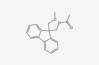 COCC1(COC(C)=O)c2ccccc2-c2ccccc21